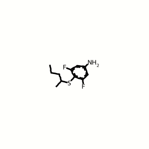 CCCC(C)Sc1c(F)cc(N)cc1F